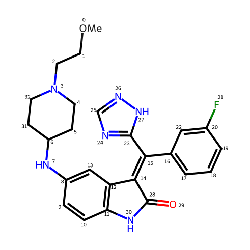 COCCN1CCC(Nc2ccc3c(c2)C(=C(c2cccc(F)c2)c2ncn[nH]2)C(=O)N3)CC1